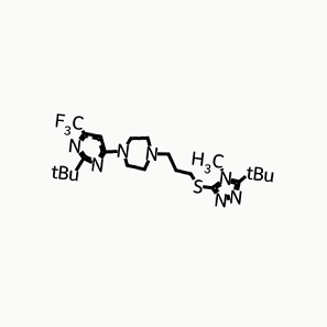 Cn1c(SCCCN2CCN(c3cc(C(F)(F)F)nc(C(C)(C)C)n3)CC2)nnc1C(C)(C)C